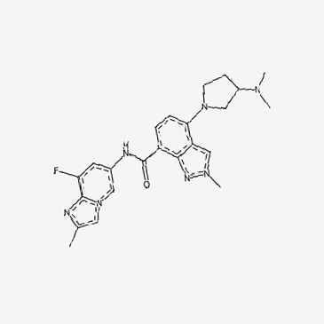 Cc1cn2cc(NC(=O)c3ccc(N4CCC(N(C)C)C4)c4cn(C)nc34)cc(F)c2n1